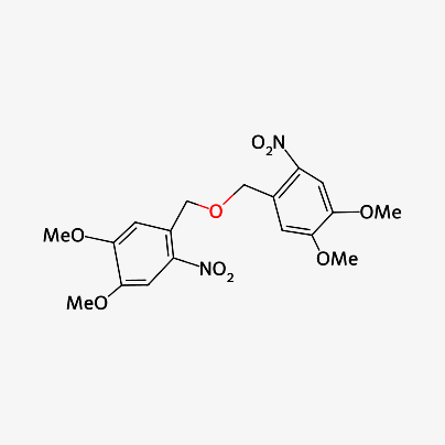 COc1cc(COCc2cc(OC)c(OC)cc2[N+](=O)[O-])c([N+](=O)[O-])cc1OC